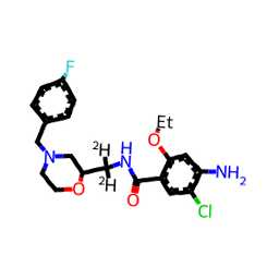 [2H]C([2H])(NC(=O)c1cc(Cl)c(N)cc1OCC)C1CN(Cc2ccc(F)cc2)CCO1